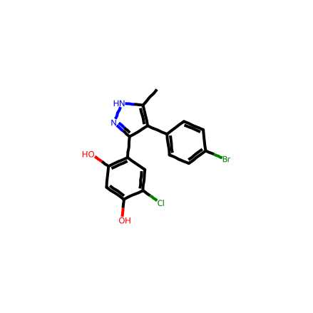 Cc1[nH]nc(-c2cc(Cl)c(O)cc2O)c1-c1ccc(Br)cc1